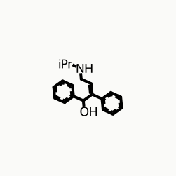 CC(C)NCC=C(c1ccccc1)C(O)c1ccccc1